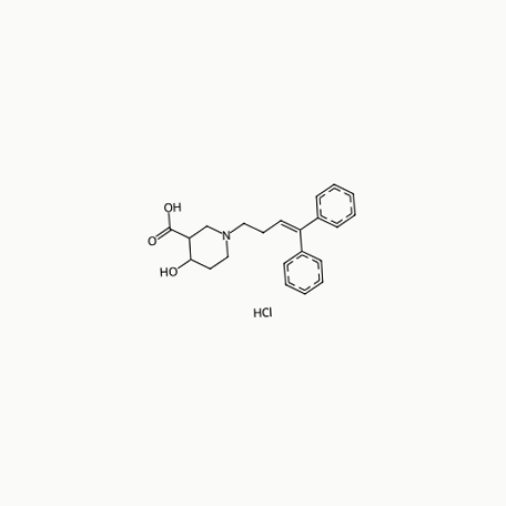 Cl.O=C(O)C1CN(CCC=C(c2ccccc2)c2ccccc2)CCC1O